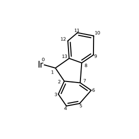 [Ir][CH]1c2ccccc2-c2ccccc21